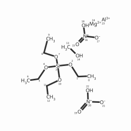 CCO[Si](OCC)(OCC)OCC.CO.O=[N+]([O-])O.O=[N+]([O-])O.[Al+3].[Mg+2]